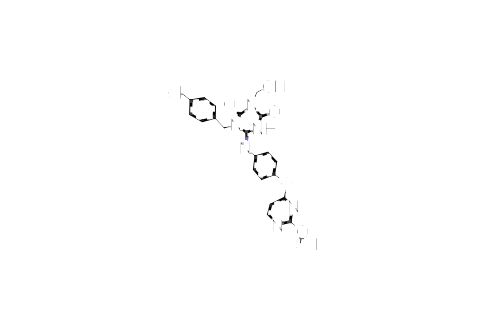 CCn1c(=O)[nH]/c(=N\c2ccc(Oc3ccnc(OC)n3)cc2)n(Cc2ccc(Cl)cc2)c1=O